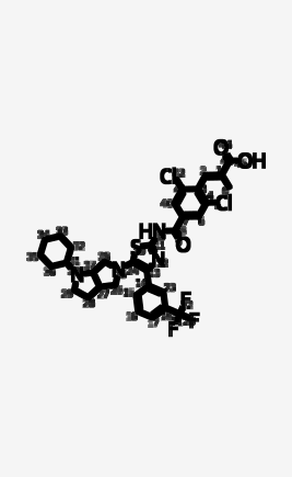 C/C(=C\c1c(Cl)cc(C(=O)Nc2nc(-c3cccc(C(F)(F)F)c3)c(N3CC4CCN(C5CCCCC5)C4C3)s2)cc1Cl)C(=O)O